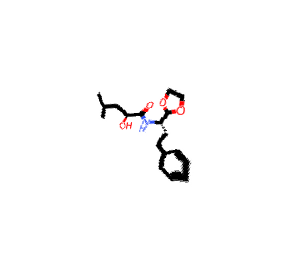 CC(C)C[C@H](O)C(=O)N[C@@H](CCc1ccccc1)C1OCCO1